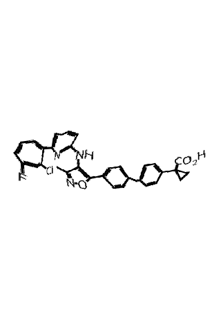 Cc1noc(-c2ccc(-c3ccc(C4(C(=O)O)CC4)cc3)cc2)c1Nc1cccc(-c2cccc(F)c2Cl)n1